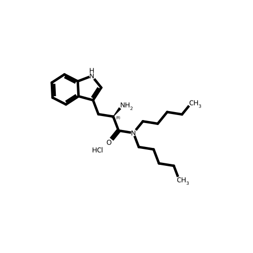 CCCCCN(CCCCC)C(=O)[C@H](N)Cc1c[nH]c2ccccc12.Cl